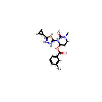 CCc1cccc(C(=O)OC2CCN(C)C(=O)N2c2nnc(C3CC3)s2)c1